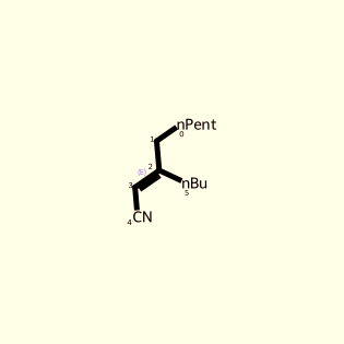 CCCCCC/C(=C/C#N)CCCC